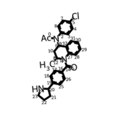 CC(=O)N(c1ccc(Cl)cc1)[C@@H]1C[C@H](C)N(C(=O)c2ccc(C3CCCN3)cc2)c2ccccc21